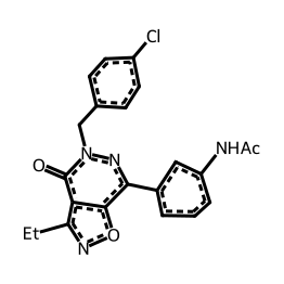 CCc1noc2c(-c3cccc(NC(C)=O)c3)nn(Cc3ccc(Cl)cc3)c(=O)c12